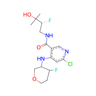 CC(C)(O)[C@H](F)CNC(=O)c1cnc(Cl)cc1NC1COCCC1F